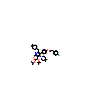 Cc1nc(CC2CCC(C)(C)CC2)c(-c2ccc(OCCc3ccc(F)cc3)cc2)c(N2CCC(C)(C)CC2)c1[C@H](OC(C)(C)C)C(=O)OC(C)C